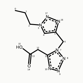 CCCn1cc(Cn2nnnc2CC(=O)O)nn1